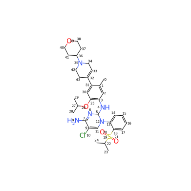 Cc1cc(NC2N=C(N)C(Cl)=CN2c2ccccc2S(=O)(=O)C(C)C)c(OC(C)C)cc1C1=CCN(C2CCOCC2)CC1